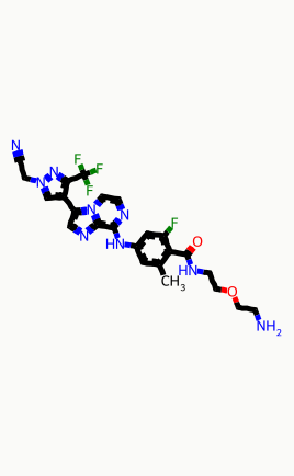 Cc1cc(Nc2nccn3c(-c4cn(CC#N)nc4C(F)(F)F)cnc23)cc(F)c1C(=O)NCCOCCN